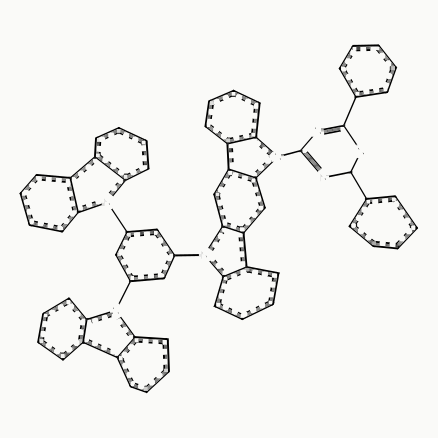 c1ccc(C2=NC(n3c4ccccc4c4cc5c(cc43)c3ccccc3n5-c3cc(-n4c5ccccc5c5ccccc54)cc(-n4c5ccccc5c5ccccc54)c3)=NC(c3ccccc3)N2)cc1